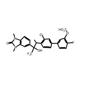 CC(c1ccc(-c2ccc(F)c(OC(=O)O)c2)cc1Cl)C(O)(c1ccc2c(c1)n(C)c(=O)n2C)C(F)(F)F